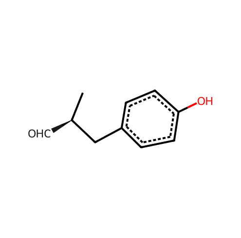 C[C@H](C=O)Cc1ccc(O)cc1